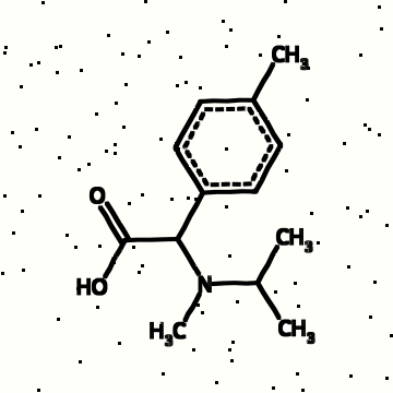 Cc1ccc(C(C(=O)O)N(C)C(C)C)cc1